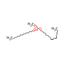 CCCCC/C=C\C/C=C\CCCCCCCCOC(COCC)COCCCCCCCCCCCCCCCC